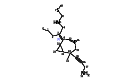 CCC/C(CNCSC)=C1/C=PCC(C)(C#CCN)C2CC12